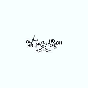 CC1=CN(C2OC(COP(=O)(O)O)C(O)C2O)CNC1=O